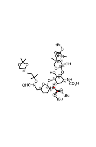 CN(C(=O)OC(C)(C)C)[C@@H]1[C@@H](O)[C@@H](O[C@@H]2[C@H](O)[C@H](O[C@H]3O[C@H](CN(C=O)OC(C)(C)CC[C@@H]4COC(C)(C)O4)CC[C@H]3NC(=O)OC(C)(C)C)[C@@H](NC(=O)OC(C)(C)C)C[C@H]2NC(=O)O)OC[C@]1(C)O